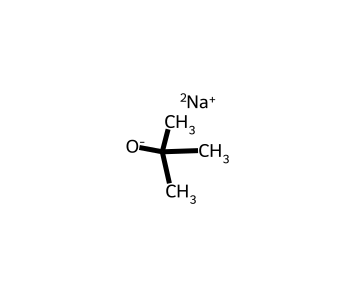 CC(C)(C)[O-].[2Na+]